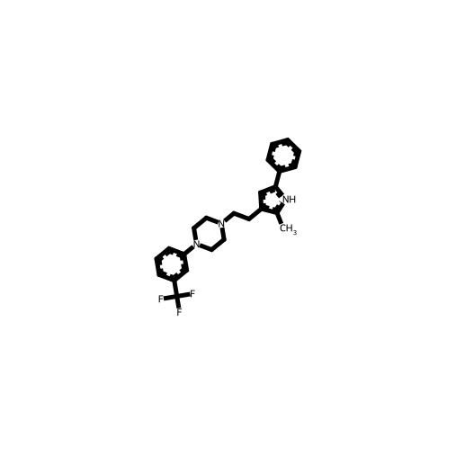 Cc1[nH]c(-c2ccccc2)cc1CCN1CCN(c2cccc(C(F)(F)F)c2)CC1